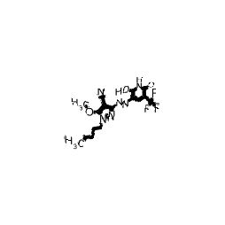 CCCCCn1nc(N=Nc2cc(C(F)(F)F)c(=O)[nH]c2O)c(C#N)c1OC